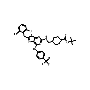 CC(C)(C)OC(=O)N1CCC(CNc2nc(Nc3ccc(C(F)(F)F)cc3)c3nc(Cc4c(Cl)cccc4Cl)sc3n2)CC1